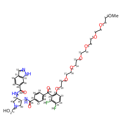 COCCOCCOCCOCCOCCOCCOCCOc1ccc(F)c(F)c1C(=O)c1ccc(C(=O)N[C@@H]2CN(C(=O)O)C[C@H]2NC(=O)c2ccc3cn[nH]c3c2)cc1